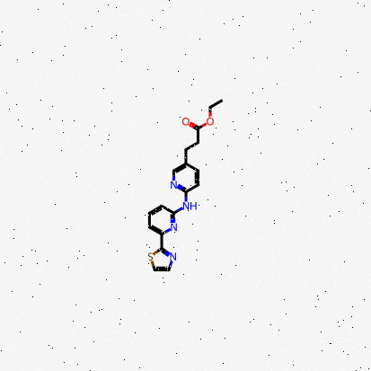 CCOC(=O)CCc1ccc(Nc2cccc(-c3nccs3)n2)nc1